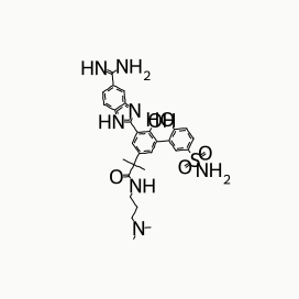 CN(C)CCCNC(=O)C(C)(C)c1cc(-c2nc3cc(C(=N)N)ccc3[nH]2)c(O)c(-c2cc(S(N)(=O)=O)ccc2O)c1